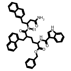 CCN(C(=O)C(CCC(NC(=O)c1c[nH]c2ccccc12)C(=O)OCc1ccccc1)Cc1cccc2ccccc12)C(CC(N)=O)Cc1ccc2ccccc2c1